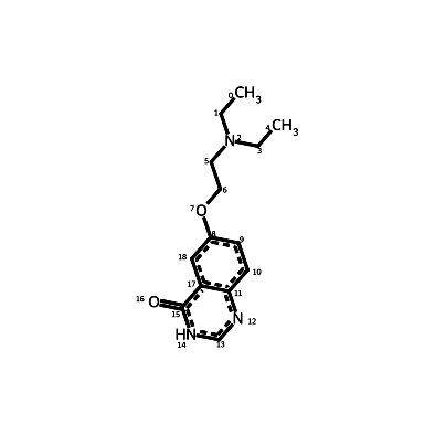 CCN(CC)CCOc1ccc2nc[nH]c(=O)c2c1